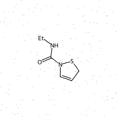 CCNC(=O)N1C=CCS1